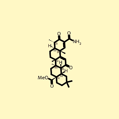 COC(=O)[C@]12CCC(C)(C)C[C@H]1[C@H]1C(=O)C=C3[C@@]4(C)C=C(C(N)=O)C(=O)[C@@H](C)[C@@H]4CC[C@@]3(C)[C@]1(C)CC2